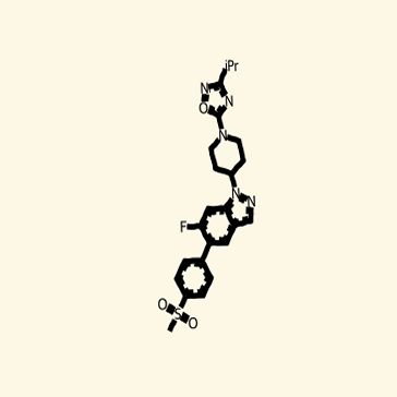 CC(C)c1noc(N2CCC(n3ncc4cc(-c5ccc(S(C)(=O)=O)cc5)c(F)cc43)CC2)n1